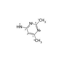 Cc1cc([NH])nc(C)n1